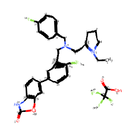 CCN1CCC[C@@H]1CN(Cc1ccc(F)cc1)Cc1cc(-c2ccc3[nH]c(=O)oc3c2)ccc1F.O=C(O)C(F)(F)F